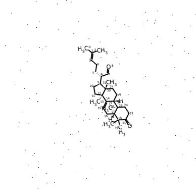 CC(C)=CCC[C@H](C=O)[C@@H]1CC[C@]2(C)C3=CC[C@H]4C(C)(C)C(=O)CC[C@]4(C)[C@H]3CC[C@@]12C